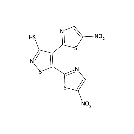 O=[N+]([O-])c1cnc(-c2snc(S)c2-c2ncc([N+](=O)[O-])s2)s1